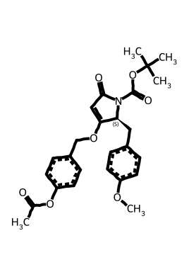 COc1ccc(C[C@H]2C(OCc3ccc(OC(C)=O)cc3)=CC(=O)N2C(=O)OC(C)(C)C)cc1